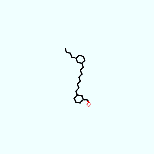 CCCCC1CCCC(CCCCCCCCC2CCCC(C=O)C2)C1